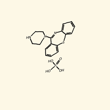 O=P(O)(O)O.c1ccc2c(c1)N=C(N1CCNCC1)c1ccccc1S2